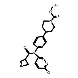 CC(C)(C)OC(=O)N1CCC(c2ccc(N(C(=O)C3CNC3)c3ccc(Cl)nn3)cc2)CC1